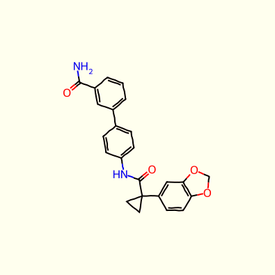 NC(=O)c1cccc(-c2ccc(NC(=O)C3(c4ccc5c(c4)OCO5)CC3)cc2)c1